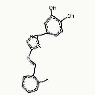 Cc1ccccc1C=Nc1nnc(-c2ccc(O)c(O)c2)s1